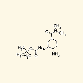 CN(C)C(=O)[C@H]1CC[C@H](N)C(C=NC(=O)OC(C)(C)C)C1